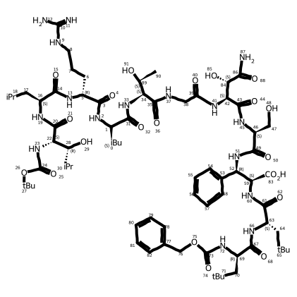 CC[C@H](C)C(NC(=O)[C@@H](CCCNC(=N)N)NC(=O)[C@H](CC(C)C)NC(=O)[C@@H](NC(=O)OC(C)(C)C)[C@H](O)C(C)C)C(=O)N[C@H](C(=O)NCC(=O)N[C@H](C(=O)N[C@@H](CO)C(=O)N[C@H](c1ccccc1)[C@H](NC(=O)[C@H](CC(C)(C)C)NC(=O)[C@@H](CC(C)(C)C)NC(=O)OCc1ccccc1)C(=O)O)[C@H](O)C(N)=O)[C@H](C)O